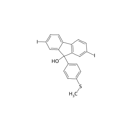 CSc1ccc(C2(O)c3cc(I)ccc3-c3ccc(I)cc32)cc1